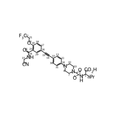 CC(C)C(NS(=O)(=O)N1CCN(c2ccc(C#Cc3ccc(OCC(F)(F)F)c(C(=O)NCC#N)c3)cc2)CC1)C(=O)O